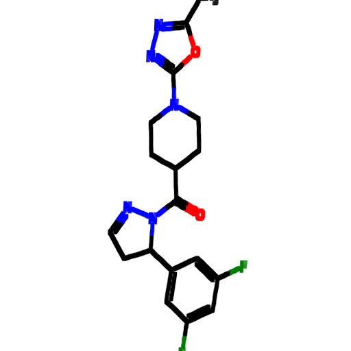 Cc1nnc(N2CCC(C(=O)N3N=CCC3c3cc(F)cc(F)c3)CC2)o1